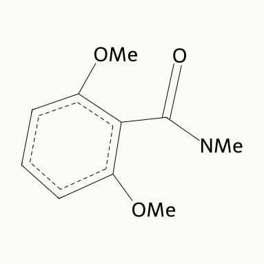 CNC(=O)c1c(OC)cccc1OC